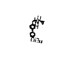 CC(C)COc1ccc(-c2ccc(CC(C)NC(=O)C3CC3)cc2)cc1